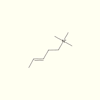 CC=CCC[N+](C)(C)C